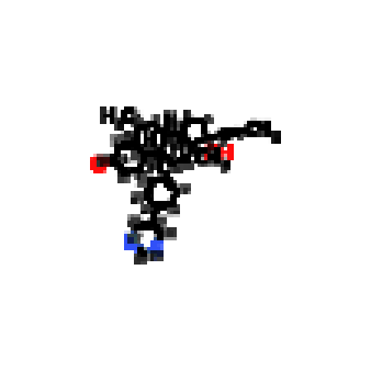 CC#C[C@]1(O)CC[C@H]2[C@@H]3C[C@@H](C)C4=CC(=O)CC[C@@H]4[C@H]3[C@@H](c3ccc(-c4cncnc4)cc3)C[C@@]21C